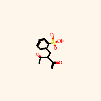 CC(=O)C(Cc1ccccc1S(=O)(=O)O)C(C)=O